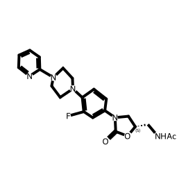 CC(=O)NC[C@H]1CN(c2ccc(N3CCN(c4ccccn4)CC3)c(F)c2)C(=O)O1